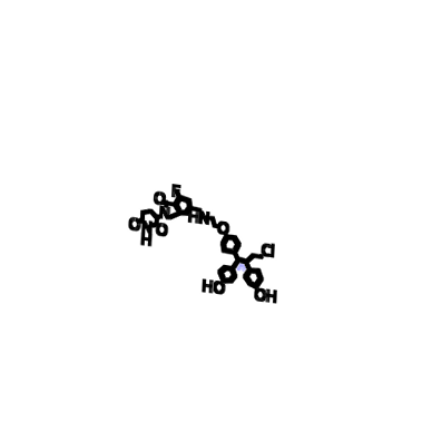 O=C1CCC(N2Cc3cc(CNCCOc4ccc(/C(=C(\CCCl)c5ccc(O)cc5)c5ccc(O)cc5)cc4)cc(F)c3C2=O)C(=O)N1